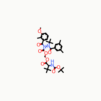 COc1cccc(C(=O)N(C(=O)OCOC(=O)C(NC(=O)OC(C)(C)C)C(C)(C)C)N(C(=O)c2cc(C)cc(C)c2)C(C)(C)C)c1C